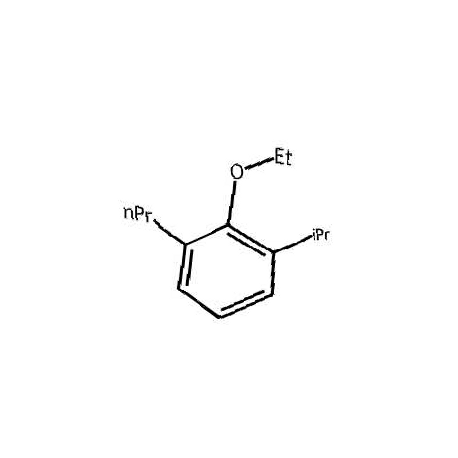 [CH2]C(C)c1cccc(CCC)c1OCC